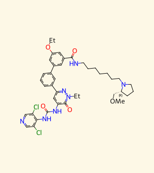 CCOc1cc(C(=O)NCCCCCCCN2CCC[C@@H]2COC)cc(-c2cccc(-c3cc(NC(=O)Nc4c(Cl)cncc4Cl)c(=O)n(CC)n3)c2)c1